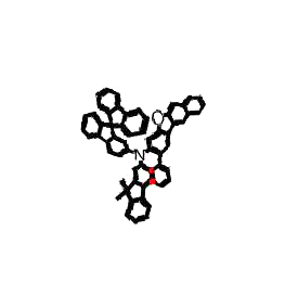 CC1(C)c2ccccc2-c2ccc(N(c3ccc4c(c3)C3(c5ccccc5-c5ccccc53)c3ccccc3-4)c3cc4oc5cc6ccccc6cc5c4cc3-c3ccccc3)cc21